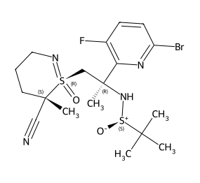 CC(C)(C)[S@@+]([O-])N[C@@](C)(C[S@]1(=O)=NCCC[C@@]1(C)C#N)c1nc(Br)ccc1F